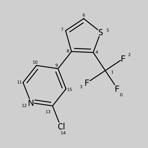 FC(F)(F)c1sccc1-c1ccnc(Cl)c1